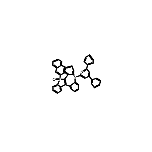 O=P1(c2ccc3ccccc3c2)C2=C(c3ccccc3N(c3cc(-c4ccccc4)cc(-c4ccccc4)n3)c3ccccc32)c2ccccc21